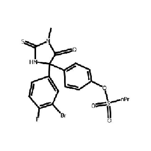 CCCS(=O)(=O)Oc1ccc(C2(c3ccc(F)c(Br)c3)NC(=S)N(C)C2=O)cc1